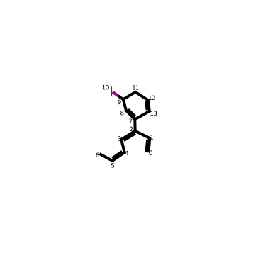 C=C/C(=C\C=C/C)C1=CC(I)CC=C1